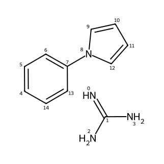 N=C(N)N.c1ccc(-n2cccc2)cc1